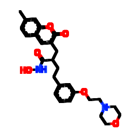 Cc1ccc2cc(CC(CCc3cccc(OCCN4CCOCC4)c3)C(=O)NO)c(=O)oc2c1